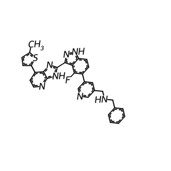 Cc1ccc(-c2ccnc3[nH]c(-c4n[nH]c5ccc(-c6cncc(CNCc7ccccc7)c6)c(F)c45)nc23)s1